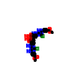 CCOC(=O)c1ccc(Nc2nc(Cl)nc(Nc3ccc(/C=C/c4ccc(Nc5nc(Cl)nc(Nc6ccc(C(=O)OCC)cc6)n5)cc4S(=O)(=O)O)c(S(=O)(=O)O)c3)n2)cc1